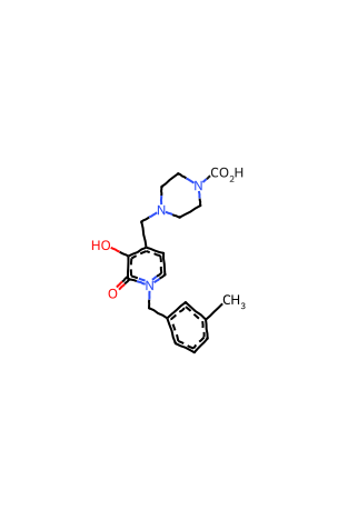 Cc1cccc(Cn2ccc(CN3CCN(C(=O)O)CC3)c(O)c2=O)c1